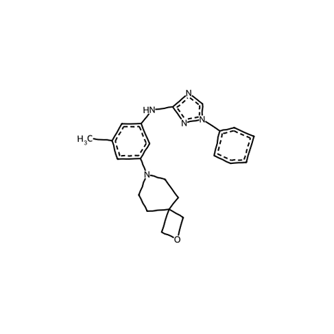 Cc1cc(Nc2ncn(-c3ccccc3)n2)cc(N2CCC3(CC2)COC3)c1